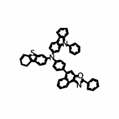 C1=Cc2sc3cc(N(c4ccc(-c5cc6oc(-c7ccccc7)nc6c6ccccc56)cc4)c4ccc5c6ccccc6n(-c6ccccc6)c5c4)ccc3c2CC1